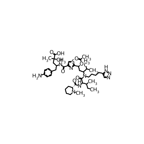 CCC(C)C(NC(=O)[C@H]1CCCCN1C)C(=O)N(CCCCc1cnn[nH]1)C(CC(OC(C)=O)c1nc(C(=O)NC(Cc2ccc(N)cc2)CC(C)(C)C(=O)O)cs1)C(C)C